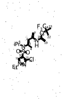 C=C(/C=C(\C)N(C(C)C)S(=O)(=O)c1cn(CC)nc1Cl)NC(=C)OC(C)(C)C(F)(F)F